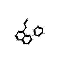 C=CCc1cccc2ccccc12.c1ccccc1